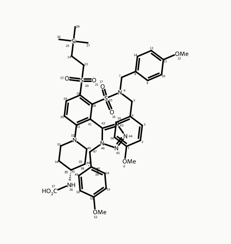 COc1ccc(CN(Cc2ccc(OC)cc2)S(=O)(=O)c2c(S(=O)(=O)CC[Si](C)(C)C)ccc(N3CC[C@@H](NC(=O)O)[C@@H](F)C3)c2-c2nnnn2Cc2ccc(OC)cc2)cc1